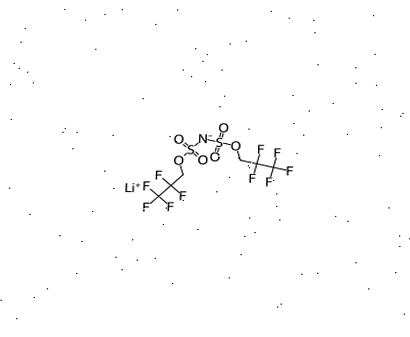 O=S(=O)([N-]S(=O)(=O)OCC(F)(F)C(F)(F)F)OCC(F)(F)C(F)(F)F.[Li+]